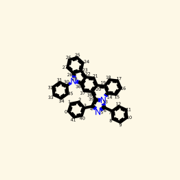 c1ccc(-c2nc(-c3ccccc3)n3c4ccccc4c4cc5c6ccccc6n(-c6ccccc6)c5cc4c23)cc1